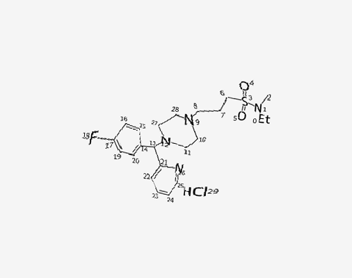 CCN(C)S(=O)(=O)CCCN1CCN(C(c2ccc(F)cc2)c2ccccn2)CC1.Cl